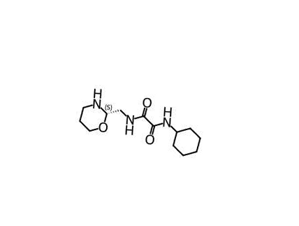 O=C(NC[C@H]1NCCCO1)C(=O)NC1CCCCC1